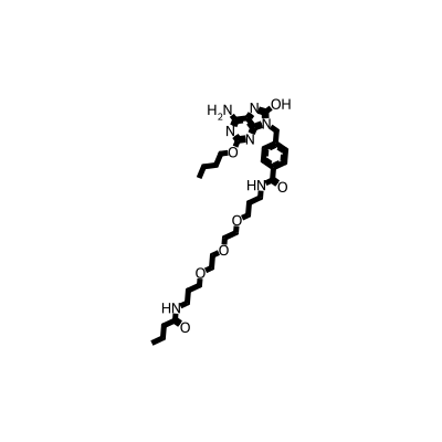 CCCCOc1nc(N)c2nc(O)n(Cc3ccc(C(=O)NCCCOCCOCCOCCCNC(=O)CCC)cc3)c2n1